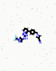 N#CC1CN(Cc2ccc(-c3cccn4nc(Nc5cnn(C(F)F)c5)nc34)cc2)C1